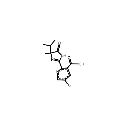 CC(C)C1(C)N=C(c2ncc(Br)cc2C(=O)O)NC1=O